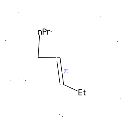 CC[CH]C/C=C/CC